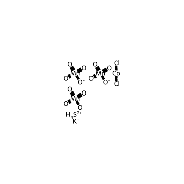 [Cl][Co][Cl].[K+].[O]=[Mn](=[O])(=[O])[O-].[O]=[Mn](=[O])(=[O])[O-].[O]=[Mn](=[O])(=[O])[O-].[SH4+2]